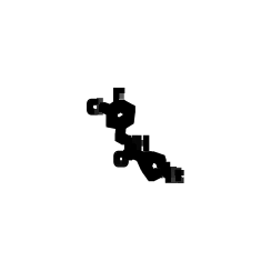 CCN1CC2C(C1)C2C(=O)NCc1ccc(F)c(Cl)c1